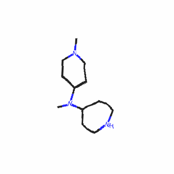 CN1CCC(N(C)C2CCNCC2)CC1